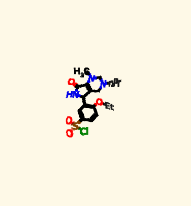 CCCN1CC2=C(C(=O)NC2c2cc(S(=O)(=O)Cl)ccc2OCC)N(C)C1